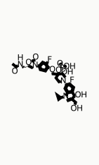 CC(=O)NC[C@H]1CN(c2ccc(OCC3(OP(=O)(O)O)CCN(c4cc5c(cc4F)C(O)C(CO)=CN5C4CC4)CC3)c(F)c2)C(=O)O1